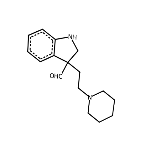 O=CC1(CCN2CCCCC2)CNc2ccccc21